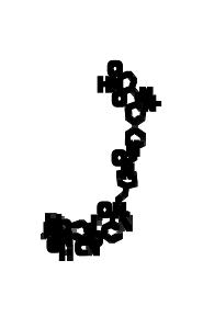 CCN(C)S(=O)(=O)Nc1ccc(F)c(Oc2ccc3ncn(CCC4CCN(C(=O)CN5CCC(c6ccc7c(C8CCC(=O)NC8=O)nn(C)c7c6)CC5)CC4)c(=O)c3c2)c1C#N